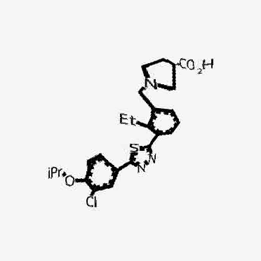 CCc1c(CN2CC[C@H](C(=O)O)C2)cccc1-c1nnc(-c2ccc(OC(C)C)c(Cl)c2)s1